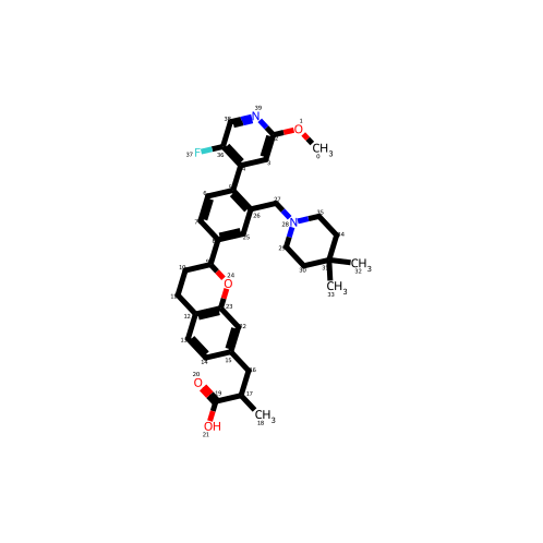 COc1cc(-c2ccc(C3CCc4ccc(CC(C)C(=O)O)cc4O3)cc2CN2CCC(C)(C)CC2)c(F)cn1